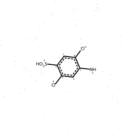 [NH]c1cc(Cl)c(S(=O)(=O)O)cc1Cl